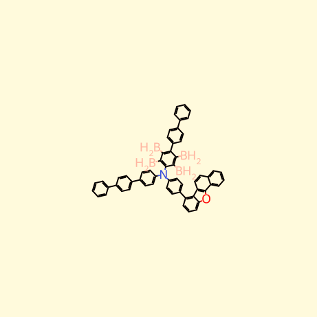 Bc1c(B)c(N(c2ccc(-c3ccc(-c4ccccc4)cc3)cc2)c2ccc(-c3cccc4oc5c6ccccc6ccc5c34)cc2)c(B)c(B)c1-c1ccc(-c2ccccc2)cc1